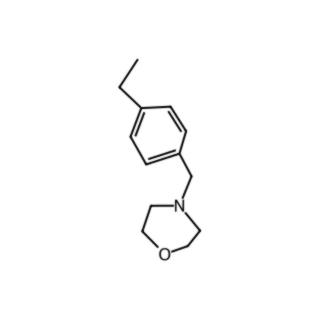 CCc1ccc(CN2CCOCC2)cc1